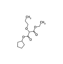 CCCOC(C(=O)OCC)C(=O)OC1CCCC1